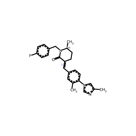 Cc1cn(-c2ccc(/C=C3\CC[C@H](C)N(Cc4ccc(F)cc4)C3=O)cc2C)cn1